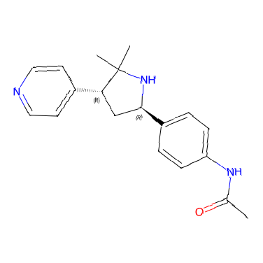 CC(=O)Nc1ccc([C@H]2C[C@H](c3ccncc3)C(C)(C)N2)cc1